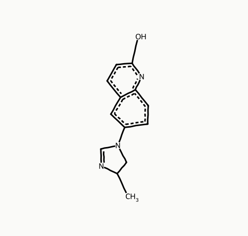 CC1CN(c2ccc3nc(O)ccc3c2)C=N1